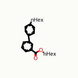 CCCCCCOC(=O)c1cccc(-c2ccc(CCCCCC)cc2)c1